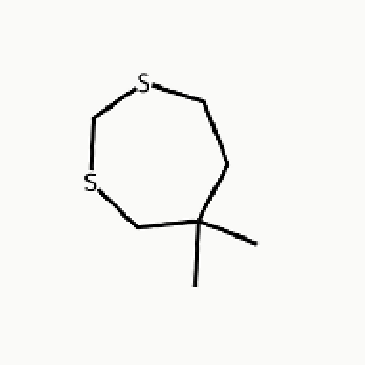 CC1(C)CCSCSC1